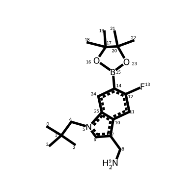 CC(C)(C)Cn1cc(CN)c2cc(F)c(B3OC(C)(C)C(C)(C)O3)cc21